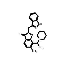 Cc1ccc2c(c1C(C)N1CCCCC1)OC(Cc1n[nH]c3ncccc13)C2=O